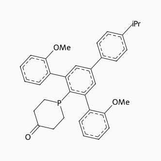 COc1ccccc1-c1cc(-c2ccc(C(C)C)cc2)cc(-c2ccccc2OC)c1P1CCC(=O)CC1